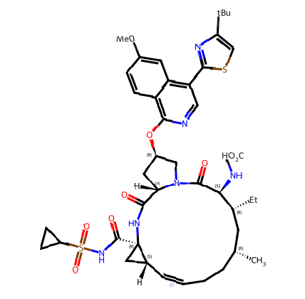 CC[C@@H]1C[C@H](C)CC/C=C\[C@@H]2C[C@@]2(C(=O)NS(=O)(=O)C2CC2)NC(=O)[C@@H]2C[C@@H](Oc3ncc(-c4nc(C(C)(C)C)cs4)c4cc(OC)ccc34)CN2C(=O)[C@H]1NC(=O)O